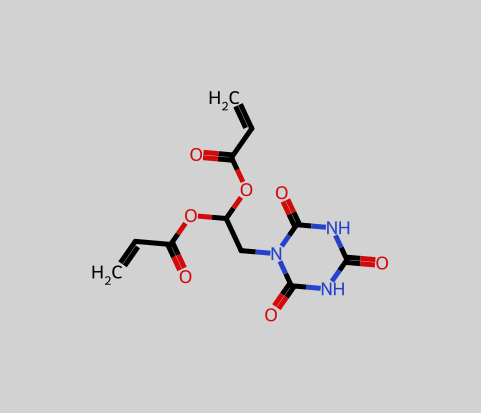 C=CC(=O)OC(Cn1c(=O)[nH]c(=O)[nH]c1=O)OC(=O)C=C